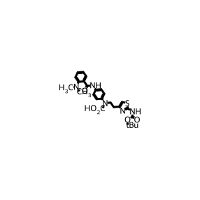 CN(C)c1ccccc1C(=O)Nc1ccc(N(CCc2csc(NC(=O)OC(C)(C)C)n2)C(=O)O)cc1